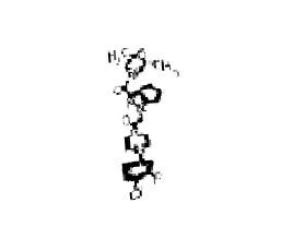 C[C@@H]1CN(C(=O)c2nn(CC(=O)N3CCN(c4ccc(Cl)c(F)c4)CC3)c3c2CCC3)C[C@H](C)O1